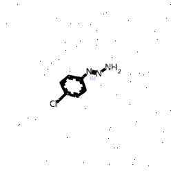 N/N=N/c1ccc(Cl)cc1